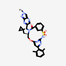 Cc1cccc(C)c1-c1cc2nc(n1)NS(=O)(=O)c1cccc(c1)C(=O)N(Cc1cnc3cn(C(C)C)nc3n1)[C@H](CC1(C)CC1)CO2